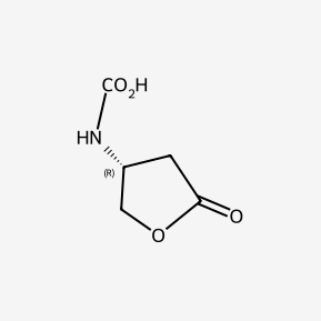 O=C(O)N[C@H]1COC(=O)C1